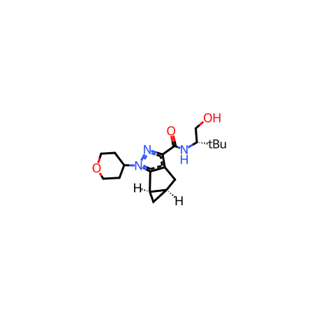 CC(C)(C)[C@@H](CO)NC(=O)c1nn(C2CCOCC2)c2c1C[C@H]1C[C@@H]21